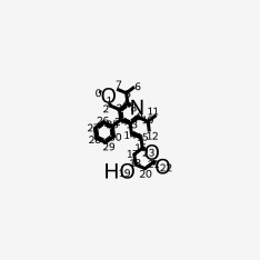 COCc1c(C(C)C)nc(C(C)C)c(C=CC2CC(O)CC(=O)O2)c1-c1ccccc1